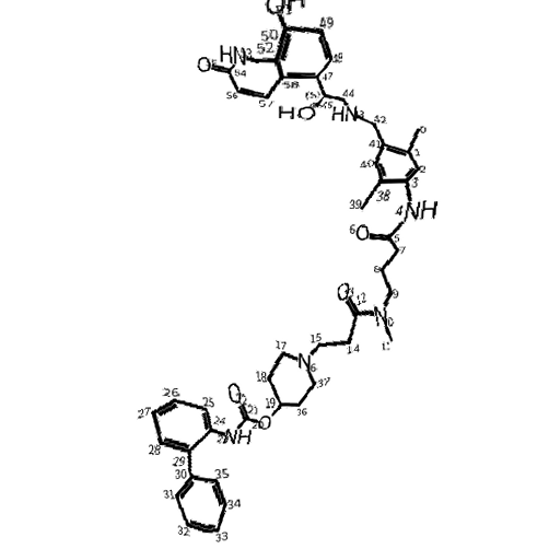 Cc1cc(NC(=O)CCCN(C)C(=O)CCN2CCC(OC(=O)Nc3ccccc3-c3ccccc3)CC2)c(C)cc1CNC[C@@H](O)c1ccc(O)c2[nH]c(=O)ccc12